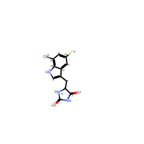 O=C1NC(=O)C(Cc2c[nH]c3c(Cl)cc(F)cc23)N1